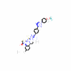 CCCc1ccc(C)cc1N1C(=O)CS/C1=N\C(=S)N/N=C/c1ccc(-c2ncn(-c3ccc(OC(F)(F)F)cc3)n2)cc1